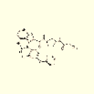 CCC(=O)N[C@H]1CC[C@H](NC(=O)c2sc3nccc4c3c2N(c2cnc(Oc3ccccc3)cc2C)C(=O)N4)C1